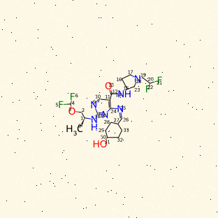 C[C@@H](COC(F)F)Nc1ncc(C(=O)N[C@H]2CCN(CC(F)F)C2)c(/N=C\C2CCC(O)CC2)n1